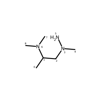 CC(CN(C)N)N(C)C